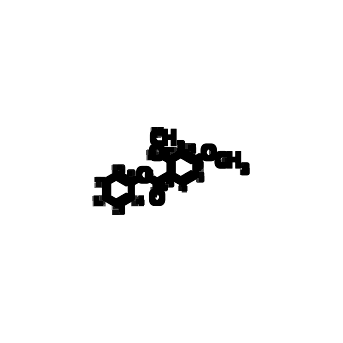 COc1ccc(C(=O)Oc2ccccc2)c(OC)c1